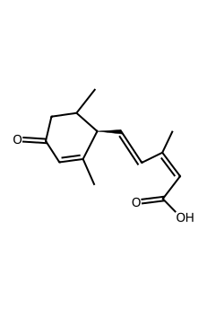 CC1=CC(=O)CC(C)[C@H]1/C=C/C(C)=C\C(=O)O